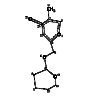 Cc1coc(COC2CCCCO2)cc1=O